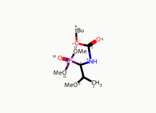 COC(C)C(NC(=O)OC(C)(C)C)P(=O)(OC)OC